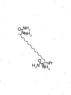 CCCC(CCCCCCCCCCCCCCC(C)N(N)C(N)=O)N(N)C(N)=O